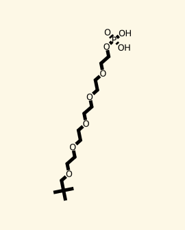 CC(C)(C)COCCOCCOCCOCCOCCOP(=O)(O)O